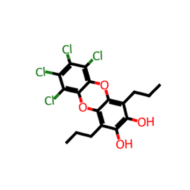 CCCc1c(O)c(O)c(CCC)c2c1Oc1c(Cl)c(Cl)c(Cl)c(Cl)c1O2